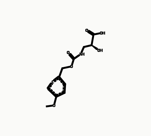 COc1ccc(COC(=O)NC[C@H](O)C(=O)O)cc1